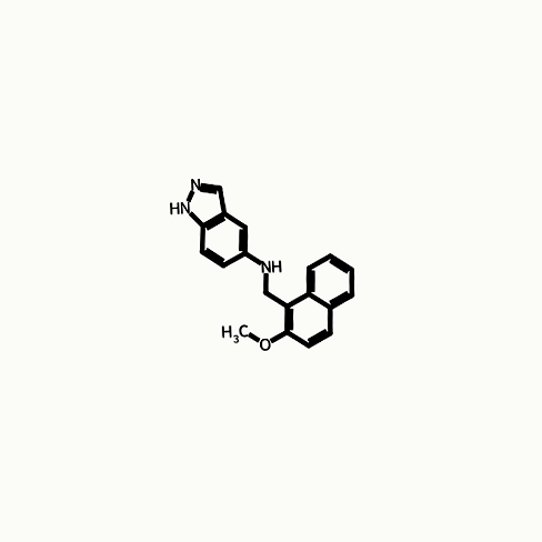 COc1ccc2ccccc2c1CNc1ccc2[nH]ncc2c1